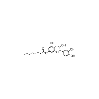 CCCCCCCC(=O)Oc1cc(O)c2c(c1)OC(c1ccc(O)c(O)c1)C(O)C2